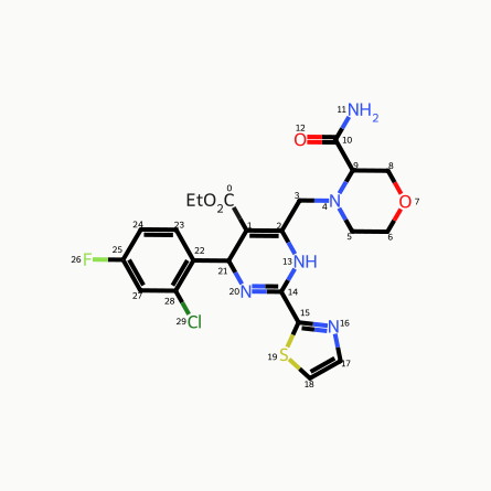 CCOC(=O)C1=C(CN2CCOCC2C(N)=O)NC(c2nccs2)=NC1c1ccc(F)cc1Cl